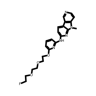 Cn1c2ccncc2c2ccc(Nc3cccc(OCCOCCOCCF)n3)nc21